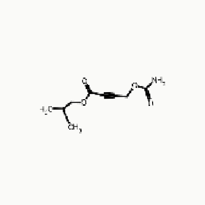 CC(C)COC(=O)C#CCOC(N)=O